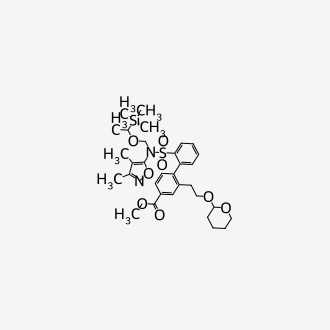 COC(=O)c1ccc(-c2ccccc2S(=O)(=O)N(COC(C)[Si](C)(C)C)c2onc(C)c2C)c(CCOC2CCCCO2)c1